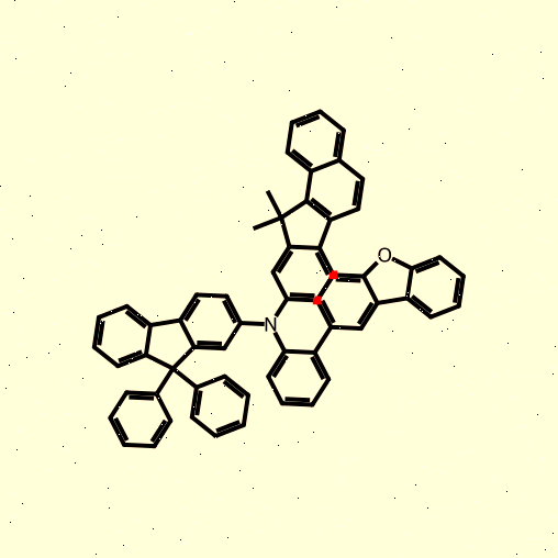 CC1(C)c2cc(N(c3ccc4c(c3)C(c3ccccc3)(c3ccccc3)c3ccccc3-4)c3ccccc3-c3ccc4oc5ccccc5c4c3)ccc2-c2ccc3ccccc3c21